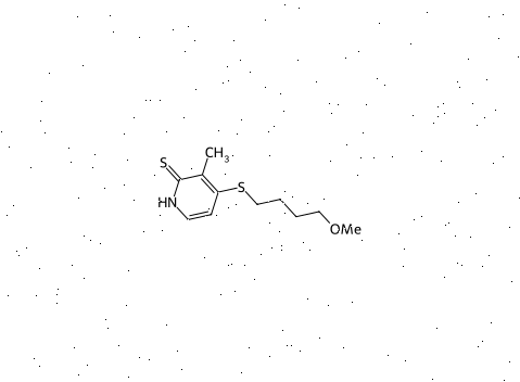 COCCCCSc1cc[nH]c(=S)c1C